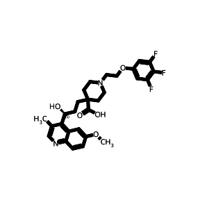 COc1ccc2ncc(C)c([C@@H](O)CCC3(C(=O)O)CCN(CCOc4cc(F)c(F)c(F)c4)CC3)c2c1